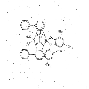 CCC1=C2c3c(-c4ccccc4)cccc3[CH]1[Zr]([O]c1ccc(C)cc1C(C)(C)C)([O]c1ccc(C)cc1C(C)(C)C)[CH]1C(CC)=C(c3c(-c4ccccc4)cccc31)[Si]2(C)C